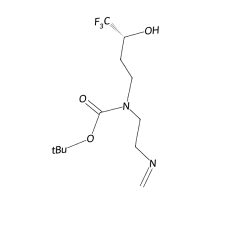 C=NCCN(CC[C@@H](O)C(F)(F)F)C(=O)OC(C)(C)C